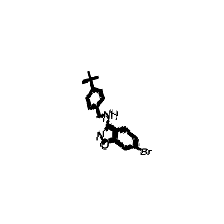 CC(C)(C)c1ccc(CNc2noc3cc(Br)ccc23)cc1